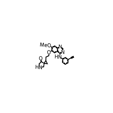 C#Cc1cccc(Nc2ncnc3cc(OC)c(OCCC4CC45CNCC5=O)cc23)c1